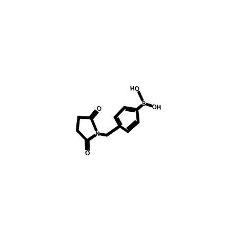 O=C1CCC(=O)N1Cc1ccc(B(O)O)cc1